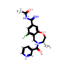 C[C@H]1COc2cc(C(=N)NC(=O)C(F)(F)F)cc(F)c2CN1C(=O)c1cccnc1